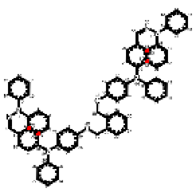 C(=N/N(c1ccccc1)c1ccccc1)/c1ccc(N(c2ccccc2)c2ccc(OCc3ccccc3COc3ccc(N(c4ccccc4)c4ccc(/C=N\N(c5ccccc5)c5ccccc5)cc4)cc3)cc2)cc1